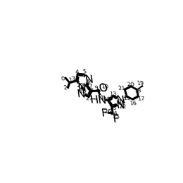 CC(C)c1ccnc2c(C(=O)Nc3cn([C@H]4CC[C@H](C)CC4)nc3C(F)F)cnn12